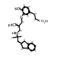 CC(C)(CC1Cc2ccccc2C1)NCC(O)COc1cc(CCC(=O)O)ccc1C#N